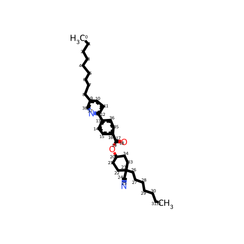 CCCCCCCCCc1ccc(-c2ccc(C(=O)OC3CCC(C#N)(CCCCCCC)CC3)cc2)nc1